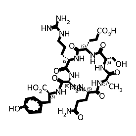 CC[C@H](C)[C@H](NC(=O)[C@H](CCCNC(=N)N)NC(=O)[C@H](CCC(=O)O)NC(=O)[C@H](CO)NC(=O)[C@H](C)NC(=O)[C@@H](N)CCC(N)=O)C(=O)N[C@@H](Cc1ccc(O)cc1)C(=O)O